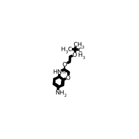 CC(C)(C)OCCO[C@H]1COC2=CC(N)=CCC2N1